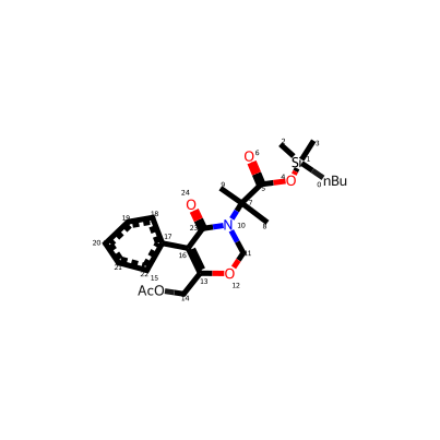 CCCC[Si](C)(C)OC(=O)C(C)(C)N1COC(COC(C)=O)=C(c2ccccc2)C1=O